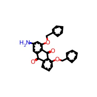 Nc1cc(OCc2ccccc2)c2c(c1)C(=O)c1cccc(OCc3ccccc3)c1C2=O